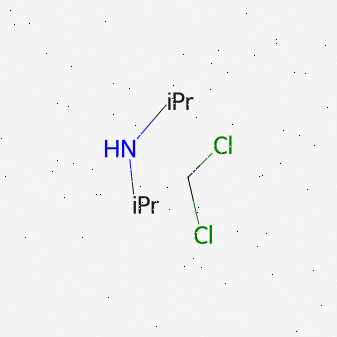 CC(C)NC(C)C.ClCCl